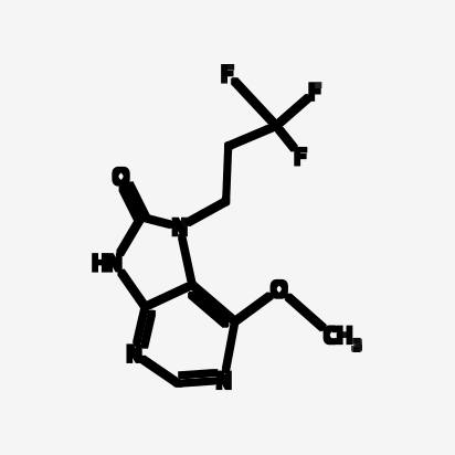 COc1ncnc2[nH]c(=O)n(CCC(F)(F)F)c12